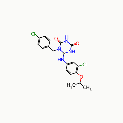 CC(C)Oc1ccc(NC2NC(=O)NC(=O)N2Cc2ccc(Cl)cc2)cc1Cl